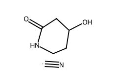 O=C1CC(O)CCN1.[C]#N